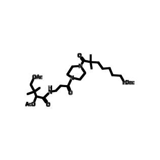 CCCCCCCCCCCCCCCC(C)(C)C(=O)N1CCN(C(=O)CCNC(=O)C(OC(C)=O)C(C)(C)COC(C)=O)CC1